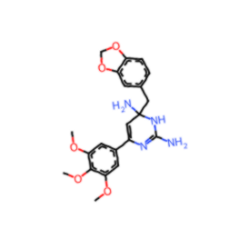 COc1cc(C2=CC(N)(Cc3ccc4c(c3)OCO4)NC(N)=N2)cc(OC)c1OC